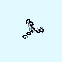 c1ccc(-c2ccc(-c3nc(-c4ccc5cccnc5n4)cc(-c4ccc5cccnc5n4)n3)cc2)nc1